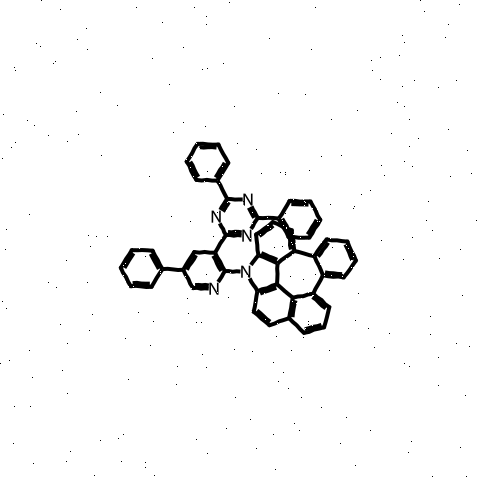 c1ccc(-c2cnc(-n3c4cccc5c4c4c6c(cccc6ccc43)-c3ccccc3-5)c(-c3nc(-c4ccccc4)nc(-c4ccccc4)n3)c2)cc1